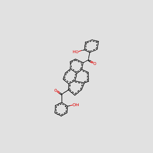 O=C(c1ccccc1O)c1ccc2ccc3c(C(=O)c4ccccc4O)ccc4ccc1c2c43